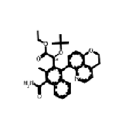 CCOC(=O)[C@@H](OC(C)(C)C)c1c(C)c(C(N)=O)c2ccccc2c1-c1ccc2c3c(ccnc13)CCO2